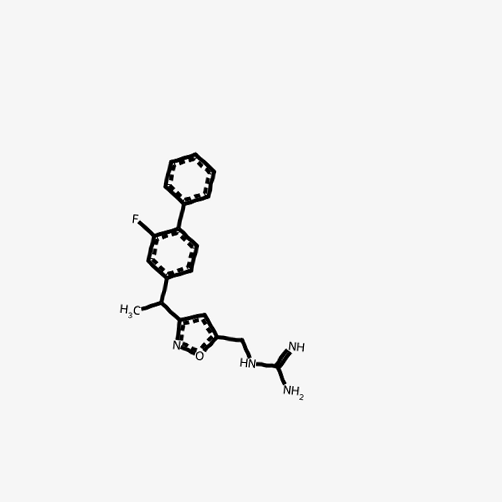 CC(c1ccc(-c2ccccc2)c(F)c1)c1cc(CNC(=N)N)on1